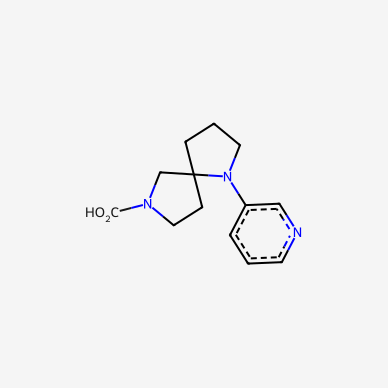 O=C(O)N1CCC2(CCCN2c2cccnc2)C1